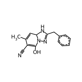 CC1=CC2NC(Cc3ccccc3)=NN2C(O)=C1C#N